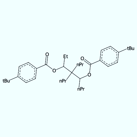 CCCC(OC(=O)c1ccc(C(C)(C)C)cc1)C(CCC)(CCC)C(CC)OC(=O)c1ccc(C(C)(C)C)cc1